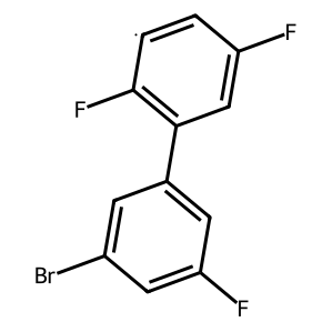 Fc1cc(Br)cc(-c2cc(F)c[c]c2F)c1